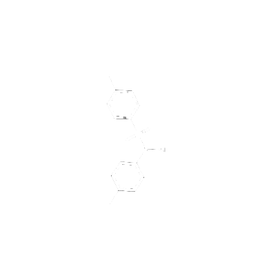 Cc1ccc(N(N)S(=O)(=O)c2ccc(C)cc2)cc1